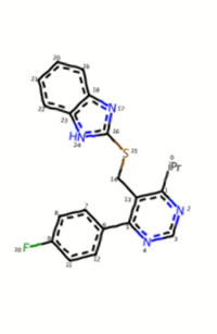 CC(C)c1ncnc(-c2ccc(F)cc2)c1CSc1nc2ccccc2[nH]1